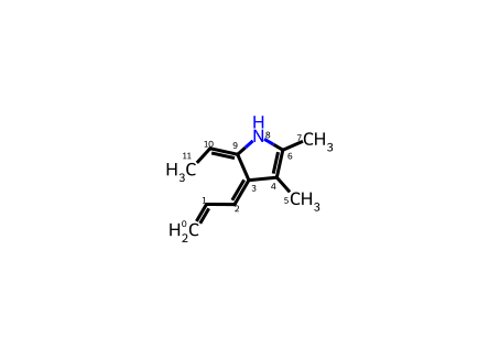 C=C/C=c1/c(C)c(C)[nH]/c1=C/C